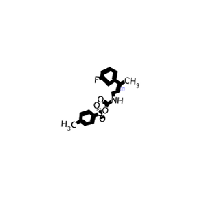 C/C(=C/CNC(=O)OS(=O)(=O)c1ccc(C)cc1)c1cccc(F)c1